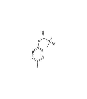 Cc1ccc(OC(=O)P(C)(C)=O)cc1